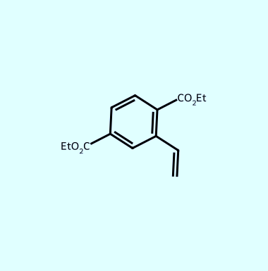 C=Cc1cc(C(=O)OCC)ccc1C(=O)OCC